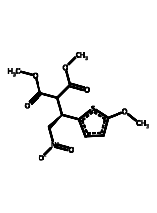 COC(=O)C(C(=O)OC)[C@H](C[N+](=O)[O-])c1ccc(OC)s1